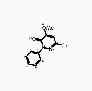 COc1cc(Cl)nn(-c2ccccc2)c1=O